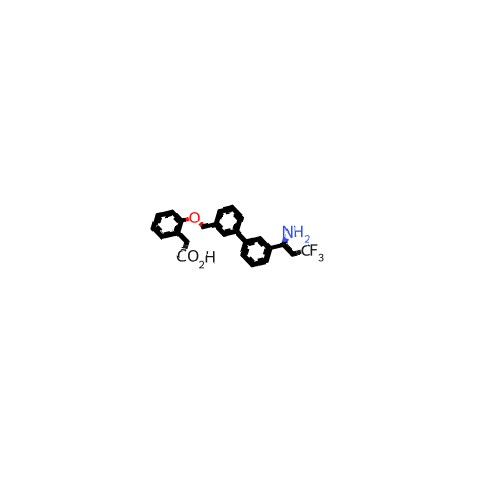 NC(CC(F)(F)F)c1cccc(-c2cccc(COc3ccccc3CC(=O)O)c2)c1